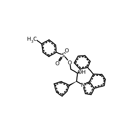 Cc1ccc(S(=O)(=O)OC[C@@H](O)[C@H](c2ccccc2)n2ccc3cccc(-c4ccccc4)c32)cc1